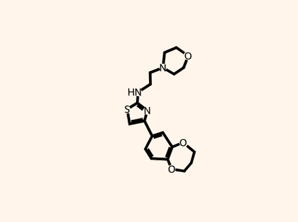 c1cc2c(cc1-c1csc(NCCN3CCOCC3)n1)OCCCO2